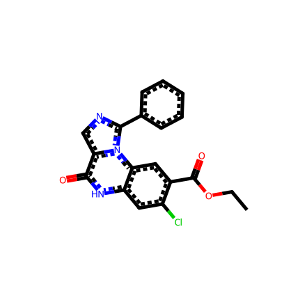 CCOC(=O)c1cc2c(cc1Cl)[nH]c(=O)c1cnc(-c3ccccc3)n12